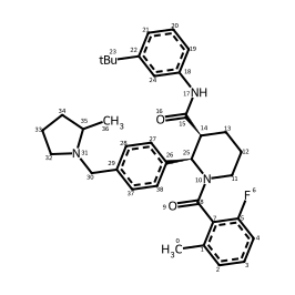 Cc1cccc(F)c1C(=O)N1CCC[C@H](C(=O)Nc2cccc(C(C)(C)C)c2)[C@@H]1c1ccc(CN2CCCC2C)cc1